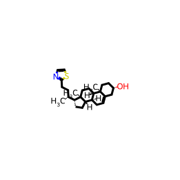 C[C@H](CCc1nccs1)[C@H]1CC[C@H]2[C@@H]3CC=C4C[C@@H](O)CC[C@]4(C)[C@H]3CC[C@]12C